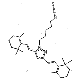 CC1=C(/C=C/c2cc(/C=C/C3=C(C)CCCC3(C)C)n(CCCCCN=C=S)n2)C(C)(C)CCC1